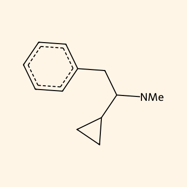 CNC(Cc1ccccc1)C1CC1